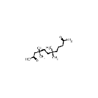 CC(C)(CCCC(N)=O)CCC(C)(C)CC(=O)O